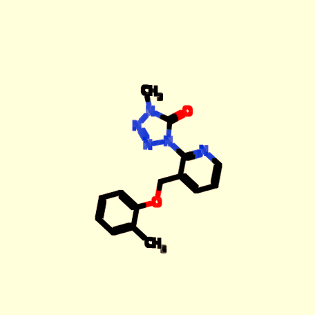 Cc1ccccc1OCc1cccnc1-n1nnn(C)c1=O